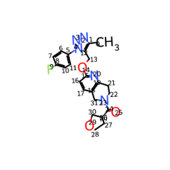 Cc1nnn(-c2ccc(F)cc2)c1COc1ccc2c(n1)CCN(C(=O)[C@H]1CCOC1)C2